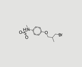 CC(CBr)COc1ccc(N(C)[SH](=O)=O)cc1